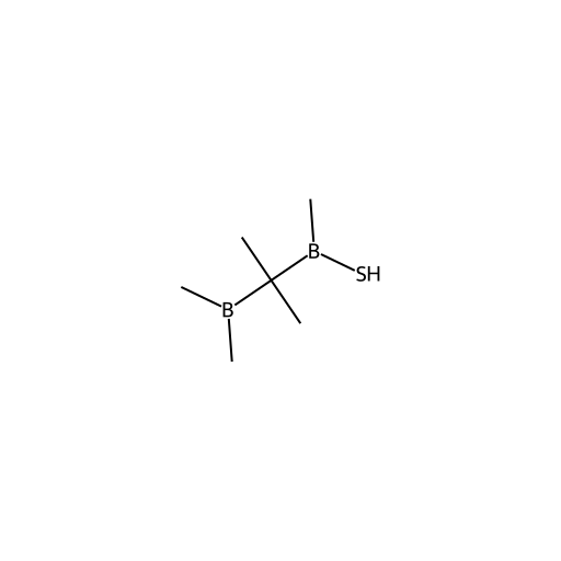 CB(C)C(C)(C)B(C)S